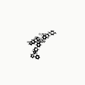 CC(C)c1ccccc1[C@@H]1CCCN1C1CC2(CCN(c3ccc(C(=O)NS(=O)(=O)c4cc5c(c([N+](=O)[O-])c4)N[C@H](CN4CCN(C)CC4)CO5)c(N4c5cc6cc[nH]c6nc5O[C@H]5COC[C@@H]54)c3)CC2)C1